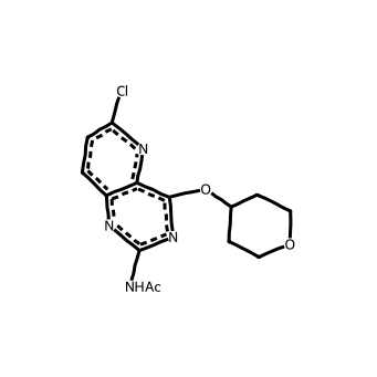 CC(=O)Nc1nc(OC2CCOCC2)c2nc(Cl)ccc2n1